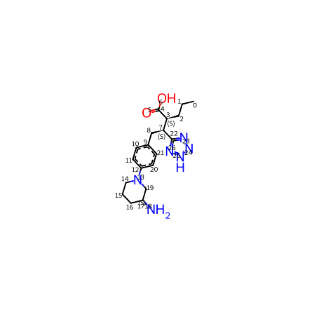 CCC[C@H](C(=O)O)[C@H](Cc1ccc(N2CCC[C@H](N)C2)cc1)c1nn[nH]n1